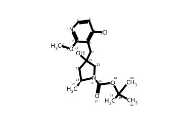 COc1nccc(Cl)c1CC1(O)C[C@H](C)N(C(=O)OC(C)(C)C)C1